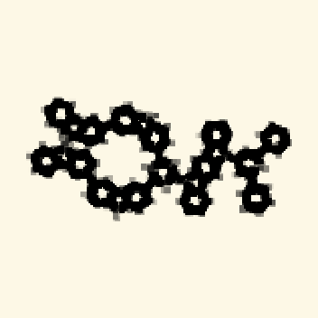 c1ccc(-c2cc(-n3c4ccccc4c4cc5c(cc43)c3ccccc3n5-c3nc(-c4ccc5sc6ccc(-c7ccc8sc9ccccc9c8c7)cc6c5c4)nc(-c4ccc5sc6ccc(-c7ccc8sc9ccccc9c8c7)cc6c5c4)n3)cc(-c3ccccc3)n2)cc1